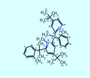 Cc1ccccc1C(C)(C)c1cc(C(C)(C)C)cc([Si](C)(c2cc(C(C)(C)C)ccn2)c2ccccc2C)[n+]1C